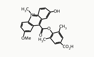 COc1ccc2c(c1)c(C(=O)Oc1c(C)cc(C(=O)O)cc1C)c1cc(O)ccc1[n+]2C